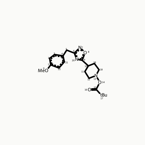 COc1ccc(Cc2noc(C3CCN(OC(=O)C(C)(C)C)CC3)n2)cc1